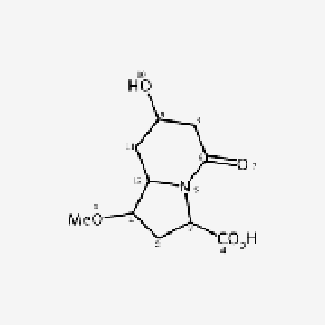 COC1CC(C(=O)O)N2C(=O)CC(O)CC12